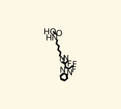 O=C(O)NCCCCCCn1cc(-c2nc3ccccc3nc2C(F)(F)F)cn1